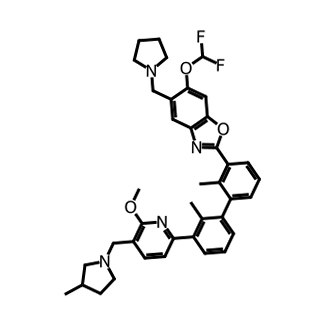 COc1nc(-c2cccc(-c3cccc(-c4nc5cc(CN6CCCC6)c(OC(F)F)cc5o4)c3C)c2C)ccc1CN1CCC(C)C1